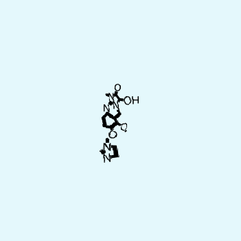 COc1c(OCn2ccnc2)ccc2c1CN1C(=N2)N(C)C(=O)C1O